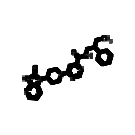 CCC(CNC(=O)c1cc(N2CCC(n3c(=O)[nH]c4ncccc43)CC2)ncn1)C1C=CC=CC1